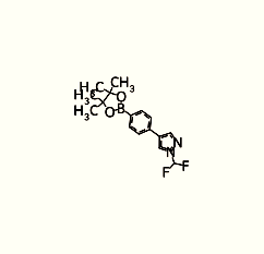 CC1(C)OB(c2ccc(-c3cnn(C(F)F)c3)cc2)OC1(C)C